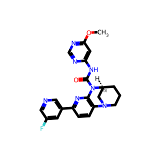 COc1cc(NC(=O)N2c3nc(-c4cncc(F)c4)ccc3N3CCC[C@H]2C3)ncn1